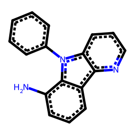 Nc1cccc2c3ncccc3n(-c3ccccc3)c12